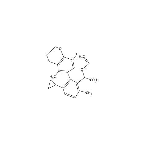 C=COC(C(=O)O)c1c(C)ccc(C2CC2)c1-c1cc(F)c2c(c1C)CCCO2